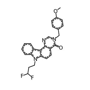 COc1ccc(Cn2cnc3c(ccc4c3c3ccccc3n4CCC(F)F)c2=O)cc1